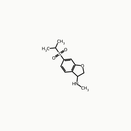 CNC1COc2cc(S(=O)(=O)C(C)C)ccc21